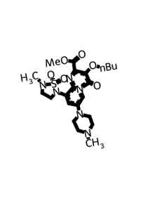 CCCCOc1c(C(=O)OC)nc2c(N3CCN(C)S3(=O)=O)cc(N3CCN(C)CC3)cn2c1=O